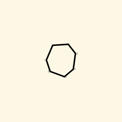 [C]1[C][C]CC[CH][C]1